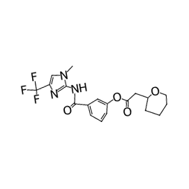 Cn1cc(C(F)(F)F)nc1NC(=O)c1cccc(OC(=O)CC2CCCCO2)c1